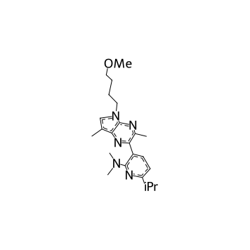 COCCCCn1cc(C)c2nc(-c3ccc(C(C)C)nc3N(C)C)c(C)nc21